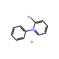 CCc1cccc[n+]1-c1ccccc1.[Br-]